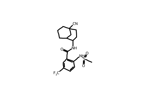 CS(=O)(=O)Nc1ccc(C(F)(F)F)cc1C(=O)NC1CCC2(C#N)CCCC1C2